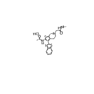 CNC(=O)CN1CCc2c(sc(NC(C)=O)c2-c2nc3ccccc3s2)C1.Cl